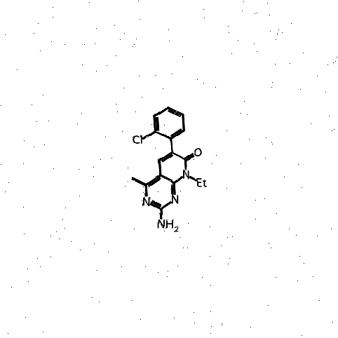 CCn1c(=O)c(-c2ccccc2Cl)cc2c(C)nc(N)nc21